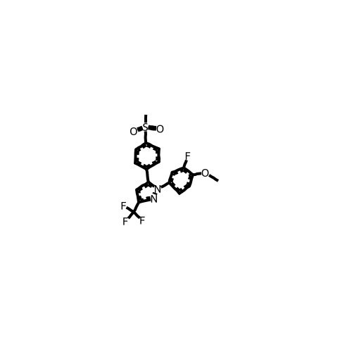 COc1ccc(-n2nc(C(F)(F)F)cc2-c2ccc(S(C)(=O)=O)cc2)cc1F